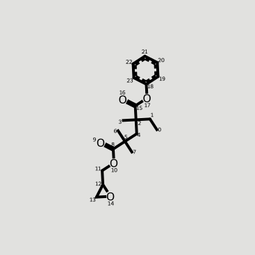 CCC(C)(CC(C)(C)C(=O)OCC1CO1)C(=O)Oc1ccccc1